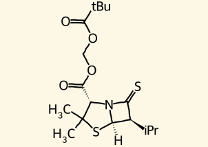 CC(C)[C@@H]1C(=S)N2[C@@H]1SC(C)(C)[C@@H]2C(=O)OCOC(=O)C(C)(C)C